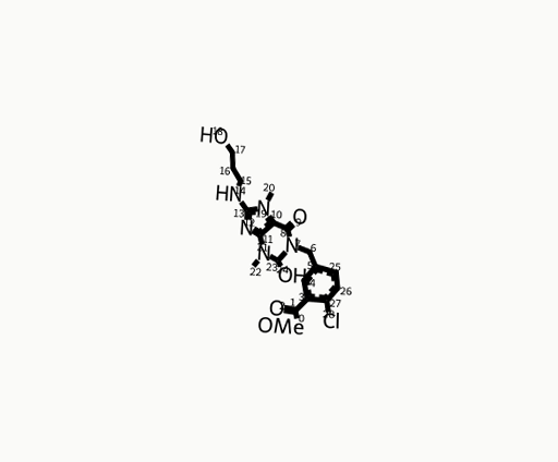 COC(=O)c1cc(CN2C(=O)c3c(nc(NCCCO)n3C)N(C)C2O)ccc1Cl